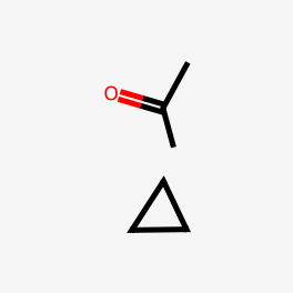 C1CC1.CC(C)=O